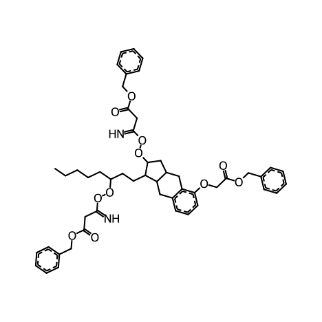 CCCCCC(CCC1C(OOC(=N)CC(=O)OCc2ccccc2)CC2Cc3c(cccc3OCC(=O)OCc3ccccc3)CC21)OOC(=N)CC(=O)OCc1ccccc1